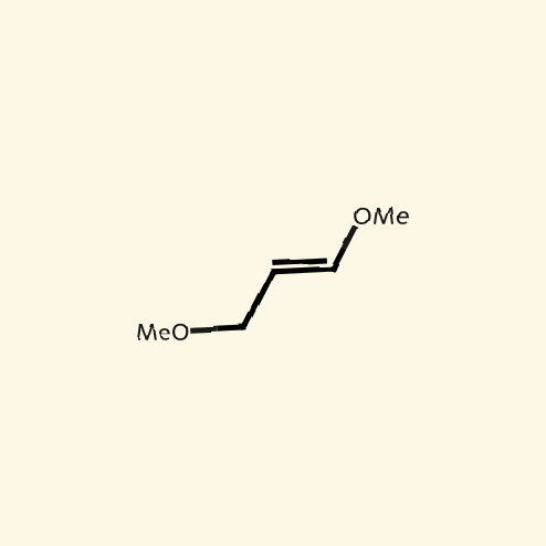 CO/C=C/COC